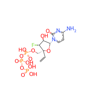 C=C[C@]1(COP(=O)(O)OP(=O)(O)OP(=O)(O)O)O[C@@H](n2ccc(N)nc2=O)[C@H](O)[C@@H]1F